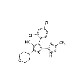 N#Cc1c(N2CCOCC2)sc(-c2nc(C(F)(F)F)c[nH]2)c1-c1ccc(Cl)cc1Cl